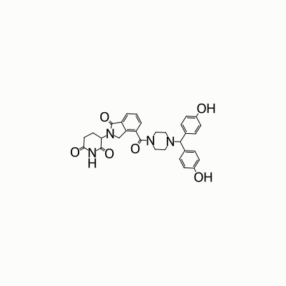 O=C1CCC(N2Cc3c(C(=O)N4CCN(C(c5ccc(O)cc5)c5ccc(O)cc5)CC4)cccc3C2=O)C(=O)N1